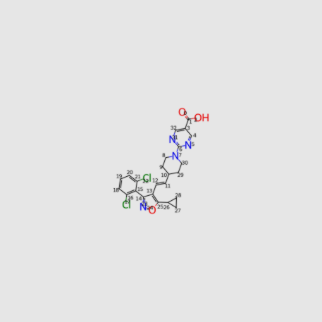 O=C(O)c1cnc(N2CCC(/C=C/c3c(-c4c(Cl)cccc4Cl)noc3C3CC3)CC2)nc1